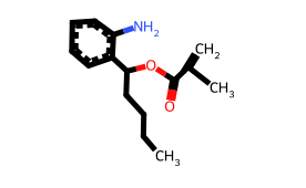 C=C(C)C(=O)OC(CCCC)c1ccccc1N